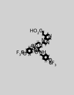 O=C(O)CCc1cncc2ncc(N3CCN(S(=O)(=O)c4ccc(OC(F)(F)F)cc4)C(C(=O)NCc4ccc(OC(F)(F)F)cc4)C3)nc12